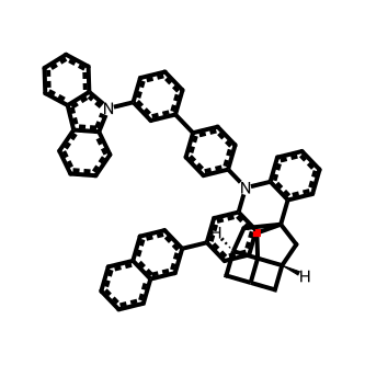 c1cc(-c2ccc3ccccc3c2)cc(N(c2ccc(-c3cccc(-n4c5ccccc5c5ccccc54)c3)cc2)c2ccccc2C23C[C@@H]4CC5C[C@@H](C2)C54C3)c1